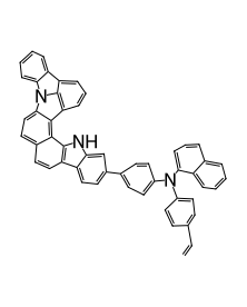 C=Cc1ccc(N(c2ccc(-c3ccc4c(c3)[nH]c3c4ccc4ccc5c(c6cccc7c8ccccc8n5c76)c43)cc2)c2cccc3ccccc23)cc1